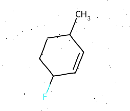 CC1C=CC(F)CC1